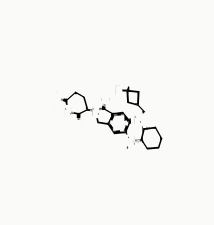 CN(c1ccc2c(c1)CN(C1CCC(=O)NC1=O)C2=O)[C@@H]1CCCC[C@H]1NCC1CC(F)(F)C1